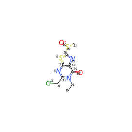 CCn1c(CCl)nc2sc([S+](C)[O-])nc2c1=O